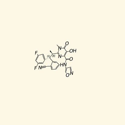 C[C@@H](c1nc(C(=O)Nc2cnoc2)c(O)c(=O)n1C)[C@@H](c1cc(F)cc(F)c1)c1ccccc1C#N